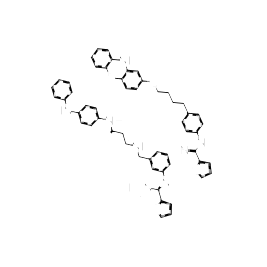 N=C(Nc1ccc(CCCCOc2ccc3c(c2)Nc2ccccc2S3)cc1)c1cccs1.NC(=Nc1cccc(CNCCC(=O)Nc2ccc(Nc3ccccc3)cc2)c1)c1cccs1